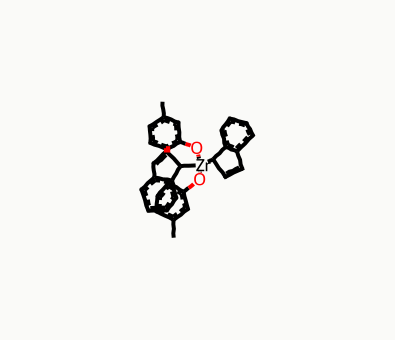 Cc1cccc([O][Zr]([O]c2cccc(C)c2)([CH]2C=Cc3ccccc32)[CH]2C=Cc3ccccc32)c1